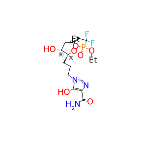 CCOP(=O)(OCC)C(F)(F)C[C@@H]1C[C@@H](O)[C@H](CCCn2cnc(C(N)=O)c2O)O1